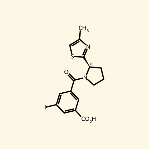 Cc1csc([C@H]2CCCN2C(=O)c2cc(I)cc(C(=O)O)c2)n1